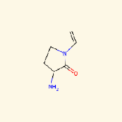 C=CN1CCC(N)C1=O